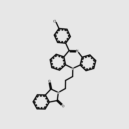 O=C1c2ccccc2C(=O)N1CCCN1c2ccccc2N=C(c2ccc(Cl)cc2)c2ccccc21